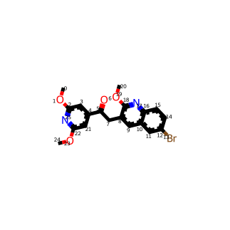 COc1cc(C(=O)Cc2cc3cc(Br)ccc3nc2OC)cc(OC)n1